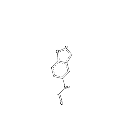 O=[C]Nc1ccc2oncc2c1